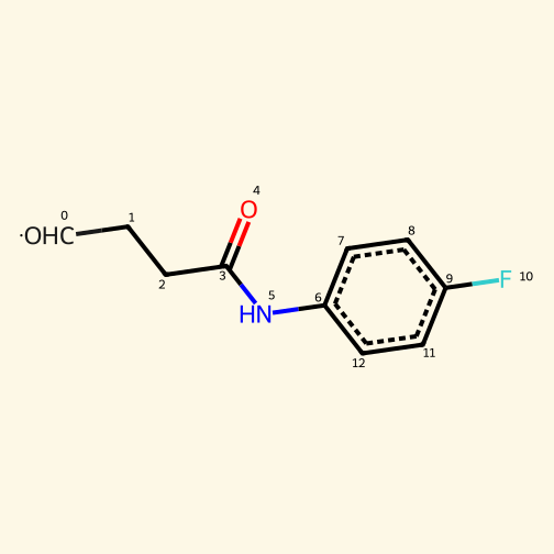 O=[C]CCC(=O)Nc1ccc(F)cc1